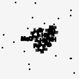 COc1ccc(Br)cc1CCc1c(F)cccc1C(=O)NC(=N)NC1CN2CCC1CC2